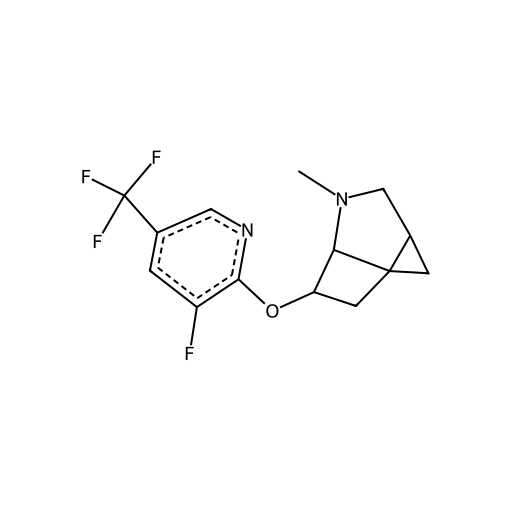 CN1CC2CC23CC(Oc2ncc(C(F)(F)F)cc2F)C13